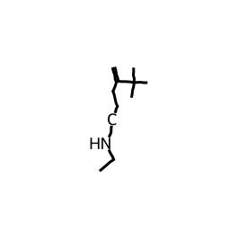 C=C(CCCCNCC)C(C)(C)C